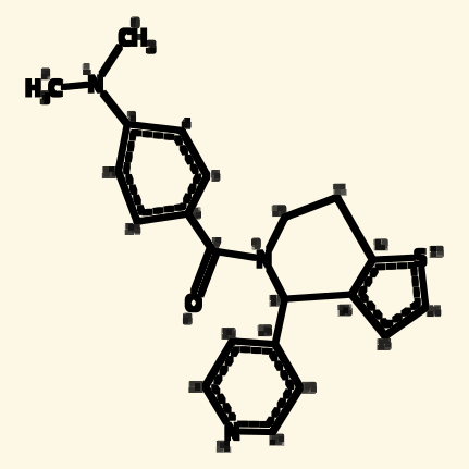 CN(C)c1ccc(C(=O)N2CCc3sccc3C2c2ccncc2)cc1